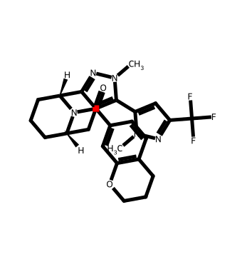 Cn1nc(C(F)(F)F)cc1-c1c2c(nn1C)[C@H]1CCC[C@@H](C2)N1C(=O)c1ccc2c(c1)OCCC2